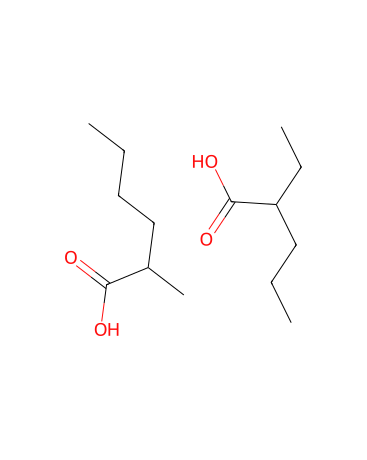 CCCC(CC)C(=O)O.CCCCC(C)C(=O)O